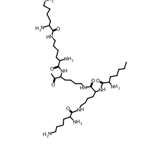 CCCCCC(N)C(=O)NC(CCCCNC(=O)C(N)CCCCN)C(=O)NCCCCC(NC(=O)C(N)CCCCNC(=O)C(N)CCCCN)C(C)=O